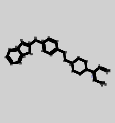 N=N/C(=C\N)C1CCN(CCc2ccc(Oc3nc4ccccc4s3)cc2)CC1